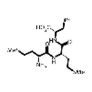 CSCC[C@H](NC(=O)[C@@H](N)CCSC)C(=O)N[C@@H](CC(C)C)C(=O)O